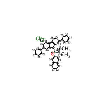 CC[Si](CC)=[Ti+2]([O]c1ccc2ccccc2c1)[CH]1c2cc(-c3ccccc3)ccc2-c2ccc(-c3ccccc3)cc21.[Cl-].[Cl-]